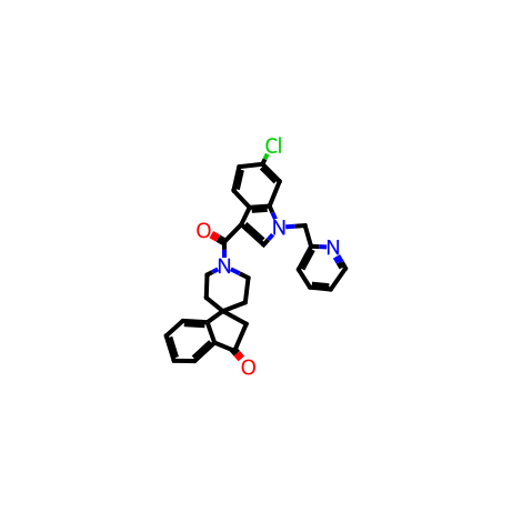 O=C1CC2(CCN(C(=O)c3cn(Cc4ccccn4)c4cc(Cl)ccc34)CC2)c2ccccc21